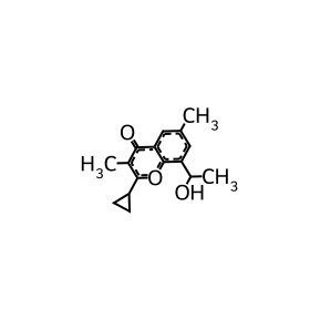 Cc1cc(C(C)O)c2oc(C3CC3)c(C)c(=O)c2c1